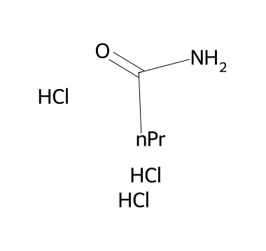 CCCC(N)=O.Cl.Cl.Cl